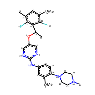 COc1cc(Nc2ncc(OC(C)c3c(F)c(C)cc(OC)c3F)cn2)ccc1N1CCN(C)CC1